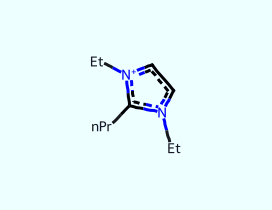 CCCc1n(CC)cc[n+]1CC